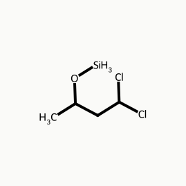 CC(CC(Cl)Cl)O[SiH3]